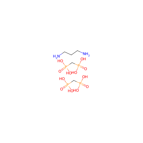 NCCCN.O=P(O)(O)CP(=O)(O)O.O=P(O)(O)CP(=O)(O)O